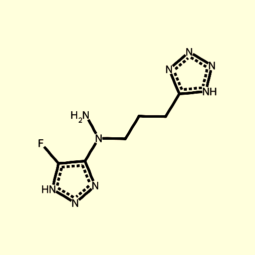 NN(CCCc1nnn[nH]1)c1nn[nH]c1F